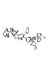 O=C1CC(NC(=O)C(F)(F)F)(c2ccc(-c3nc4ccn5c(-c6ncccn6)nnc5c4cc3-c3ccccc3)cc2)C1